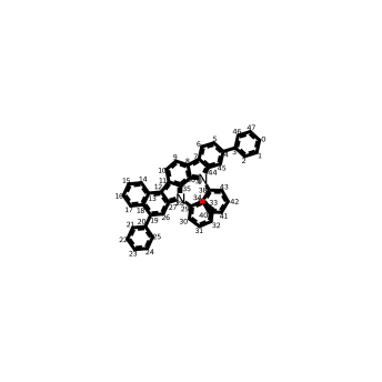 c1ccc(-c2ccc3c4ccc5c6c7ccccc7c(-c7ccccc7)cc6n(-c6ccccc6)c5c4n(-c4ccccc4)c3c2)cc1